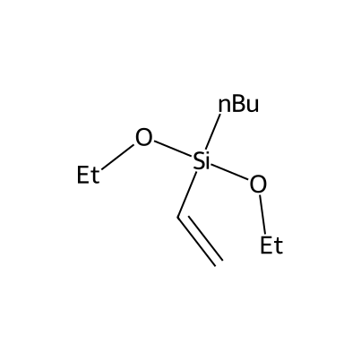 C=C[Si](CCCC)(OCC)OCC